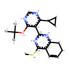 [2H]C([2H])([2H])Oc1ncnc(C2CC2)c1-c1nc2c(c(SC)n1)C=CCC2